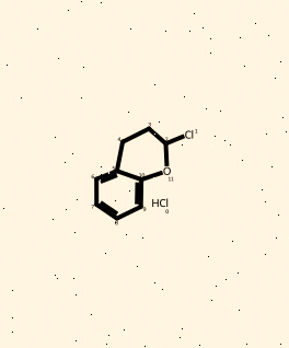 Cl.ClC1CCc2ccccc2O1